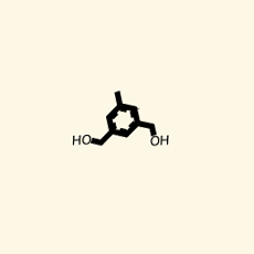 Cc1[c]c(CO)cc(CO)c1